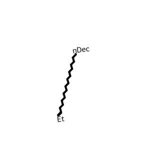 CC/C=C/CCCCCCCCCCCCCCCCCCCCCCCCCC